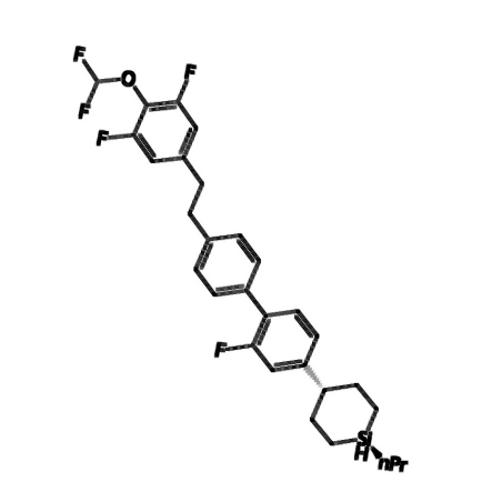 CCC[Si@H]1CC[C@H](c2ccc(-c3ccc(CCc4cc(F)c(OC(F)F)c(F)c4)cc3)c(F)c2)CC1